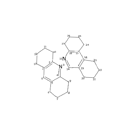 c1c2c(nc3c1CCCC3)CCCC2.c1nc2c(c3c1CCCC3)CCCC2